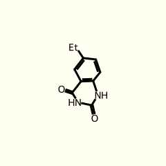 CCc1ccc2[nH]c(=O)[nH]c(=O)c2c1